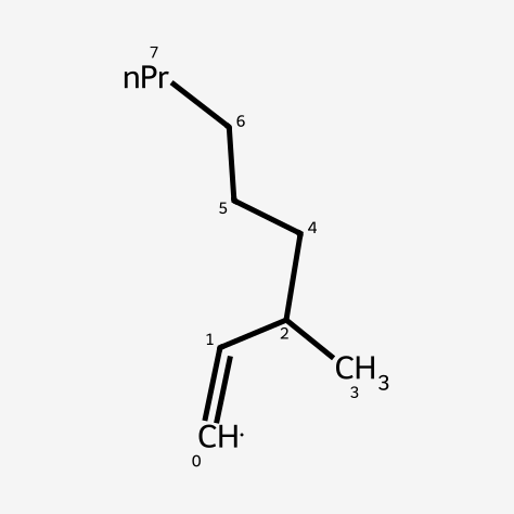 [CH]=CC(C)CCCCCC